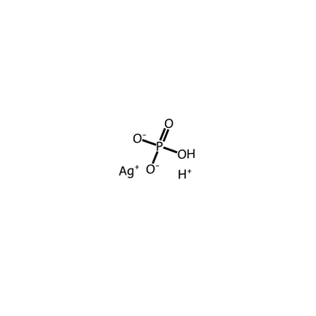 O=P([O-])([O-])O.[Ag+].[H+]